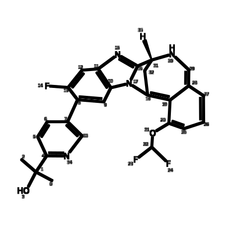 CC(C)(O)c1ccc(-c2cc3c(cc2F)nc2n3C3=c4c(OC(F)F)cccc4=CN[C@@H]2C3)cn1